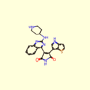 O=C1NC(=O)C(c2c[nH]c3ccsc23)=C1c1nc(NC2CCNCC2)nc2ccccc12